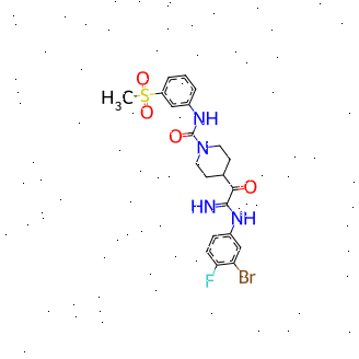 CS(=O)(=O)c1cccc(NC(=O)N2CCC(C(=O)C(=N)Nc3ccc(F)c(Br)c3)CC2)c1